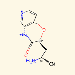 N#C[C@@H](N)C[C@@H]1Oc2ccncc2NC1=O